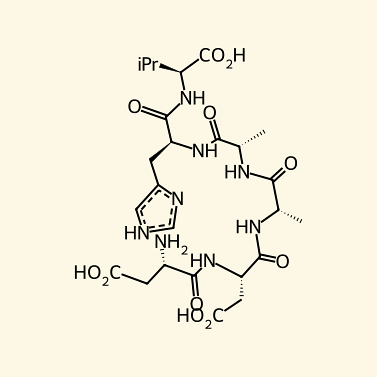 CC(C)[C@H](NC(=O)[C@H](Cc1c[nH]cn1)NC(=O)[C@H](C)NC(=O)[C@H](C)NC(=O)[C@H](CC(=O)O)NC(=O)[C@@H](N)CC(=O)O)C(=O)O